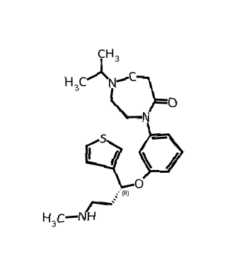 CNCC[C@@H](Oc1cccc(N2CCN(C(C)C)CCC2=O)c1)c1ccsc1